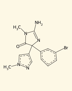 CN1C(=O)C(c2cccc(Br)c2)(c2cnn(C)c2)N=C1N